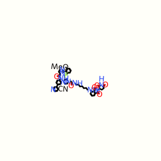 COc1cccc(F)c1-c1nccc(C(=O)Nc2ccc(-c3cnccc3C#N)cc2N2CCN(CC(=O)NCCCCCCCNc3cccc4c3C(=O)N(C3CCC(=O)NC3=O)C4=O)CC2)n1